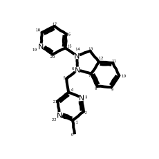 Cc1cnc(CN2c3ccccc3CN2c2cccnc2)cn1